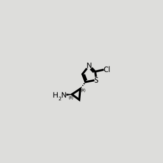 N[C@@H]1C[C@H]1c1cnc(Cl)s1